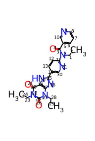 CCN(C(=O)c1cccnc1)c1ccc(-c2nc3c([nH]2)c(=O)n(CC)c(=O)n3CC)cn1